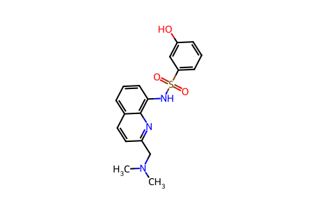 CN(C)Cc1ccc2cccc(NS(=O)(=O)c3cccc(O)c3)c2n1